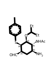 CCC(CC)O[C@H]1[C@H](NC(C)=O)[C@@H](N)C[C@@H](C=O)[C@H]1Sc1ccc(C)cc1